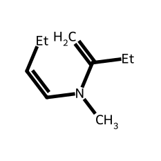 C=C(CC)N(C)/C=C\CC